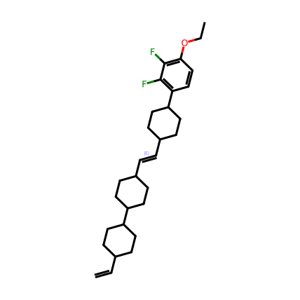 C=CC1CCC(C2CCC(/C=C/C3CCC(c4ccc(OCC)c(F)c4F)CC3)CC2)CC1